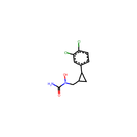 NC(=O)N(O)CC1CC1c1ccc(Cl)c(Cl)c1